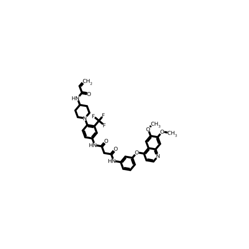 C=CC(=O)NC1CCN(c2ccc(NC(=O)CC(=O)Nc3cccc(Oc4ccnc5cc(OC)c(OC)cc45)c3)cc2C(F)(F)F)CC1